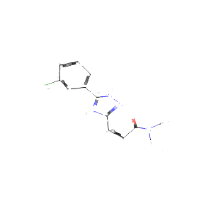 CC(C)N(C)C(=O)/C=C\c1n[nH]c(-c2cccc(Cl)c2)n1